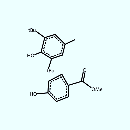 COC(=O)c1ccc(O)cc1.Cc1cc(C(C)(C)C)c(O)c(C(C)(C)C)c1